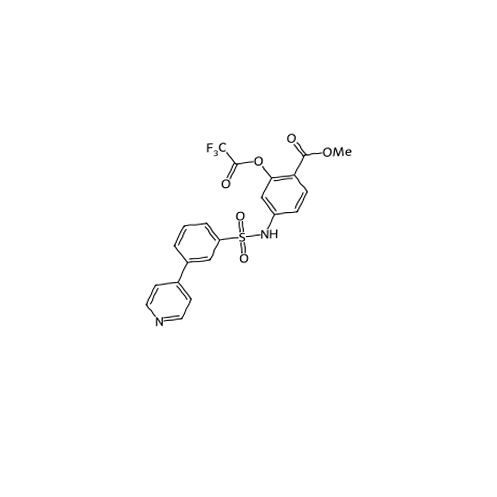 COC(=O)c1ccc(NS(=O)(=O)c2cccc(-c3ccncc3)c2)cc1OC(=O)C(F)(F)F